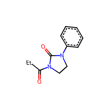 CCC(=O)N1CCN(c2ccccc2)C1=O